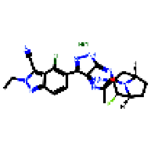 CCn1nc2ccc(-c3n[nH]c4nc(N5[C@H]6CC[C@@H]5[C@@H](F)[C@@H](N)C6)c(C)nc34)c(Cl)c2c1C#N.Cl